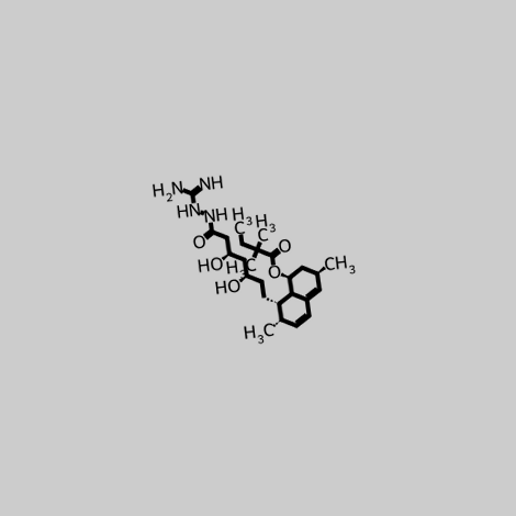 CCC(C)(C)C(=O)O[C@H]1C[C@@H](C)C=C2C=C[C@H](C)[C@H](CC[C@@H](O)C[C@@H](O)CC(=O)NNC(=N)N)C21